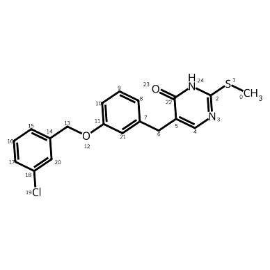 CSc1ncc(Cc2cccc(OCc3cccc(Cl)c3)c2)c(=O)[nH]1